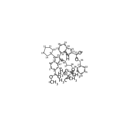 COC(=O)c1ccc2c(C3CCCCC3)c(-c3cccc4cc(C(=O)OCc5ccccc5)[nH]c34)n(CCCO[Si](C)(C)C(C)(C)C)c2c1